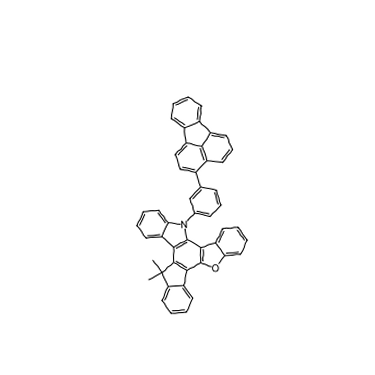 CC1(C)c2ccccc2-c2c1c1c3ccccc3n(-c3cccc(-c4ccc5c6c(cccc46)-c4ccccc4-5)c3)c1c1c2oc2ccccc21